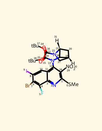 CSc1nc2c(F)c(Br)c(I)cc2c(N(C(=O)OC(C)(C)C)C2[C@@H]3C[C@H]2N(C(=O)OC(C)(C)C)C3)c1[N+](=O)[O-]